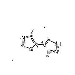 Cc1nnsc1-c1c[nH]nn1